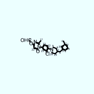 Cc1cccc(CC2CCN(c3ccc(-n4c(C)nc(OC=O)cc4=O)cc3Cl)CC2)c1